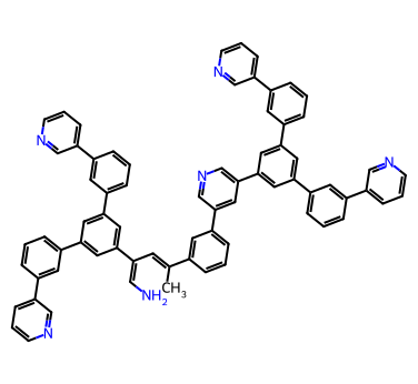 C/C(=C\C(=C/N)c1cc(-c2cccc(-c3cccnc3)c2)cc(-c2cccc(-c3cccnc3)c2)c1)c1cccc(-c2cncc(-c3cc(-c4cccc(-c5cccnc5)c4)cc(-c4cccc(-c5cccnc5)c4)c3)c2)c1